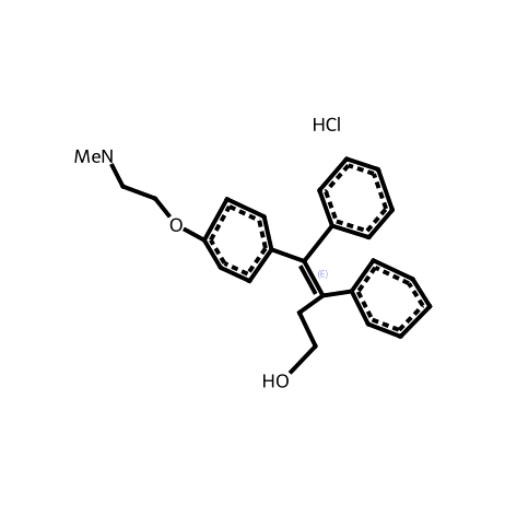 CNCCOc1ccc(/C(=C(\CCO)c2ccccc2)c2ccccc2)cc1.Cl